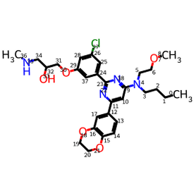 CCCCN(CCOC)c1cc(-c2ccc3c(c2)OCCO3)nc(-c2cc(Cl)cc(OCC(O)CNC)c2)n1